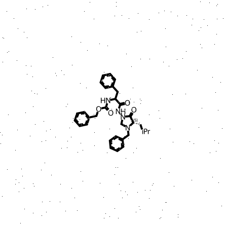 CC(C)C[C@H]1C(=O)N(NC(=O)C(Cc2ccccc2)NC(=O)OCc2ccccc2)CN1Cc1ccccc1